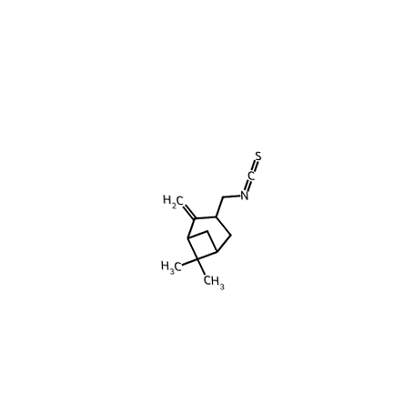 C=C1C(CN=C=S)CC2CC1C2(C)C